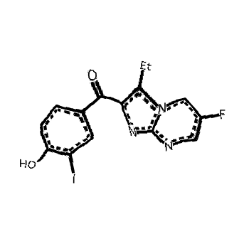 CCc1c(C(=O)c2ccc(O)c(I)c2)nc2ncc(F)cn12